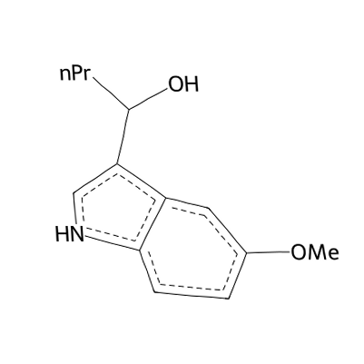 CCCC(O)c1c[nH]c2ccc(OC)cc12